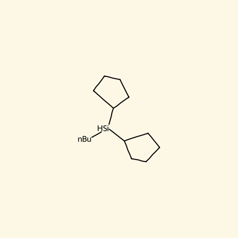 CCCC[SiH](C1CCCC1)C1CCCC1